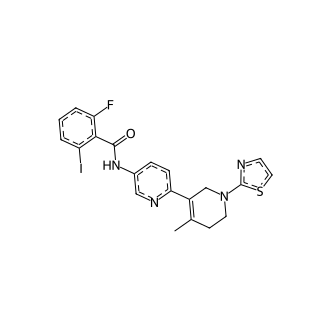 CC1=C(c2ccc(NC(=O)c3c(F)cccc3I)cn2)CN(c2nccs2)CC1